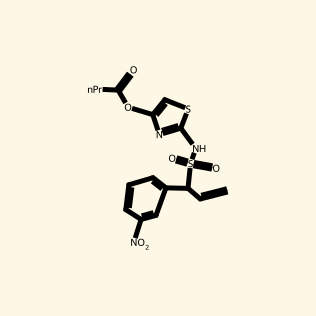 C=CC(c1cccc([N+](=O)[O-])c1)S(=O)(=O)Nc1nc(OC(=O)CCC)cs1